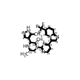 Cc1[nH]ncc1C1N[C@@H](C)CN(c2nccc(-c3cnc4ccc(C(F)(F)F)cn34)n2)[C@H]1C